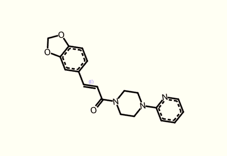 O=C(/C=C/c1ccc2c(c1)OCO2)N1CCN(c2ccccn2)CC1